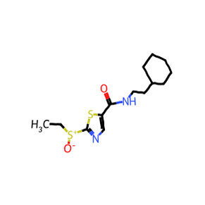 CC[S+]([O-])c1ncc(C(=O)NCCC2CCCCC2)s1